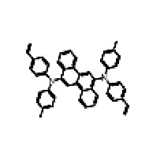 C=Cc1ccc(N(c2ccc(C)cc2)c2cc3c4ccccc4c(N(c4ccc(C)cc4)c4ccc(C=C)cc4)cc3c3ccccc23)cc1